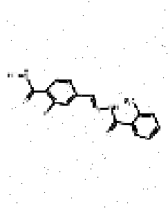 O=C(NO)c1ccc(C=NNC(=O)c2ccccc2C(F)(F)F)cc1F